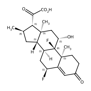 C[C@@H]1C[C@H]2[C@@H]3C[C@H](F)C4=CC(=O)CC[C@]4(C)[C@@]3(F)[C@@H](O)C[C@]2(C)[C@H]1C(=O)C(=O)O